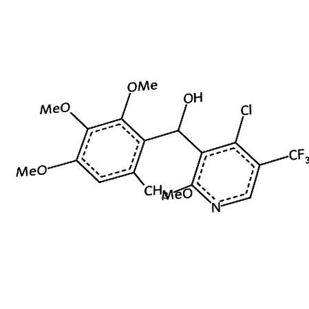 COc1cc(C)c(C(O)c2c(OC)ncc(C(F)(F)F)c2Cl)c(OC)c1OC